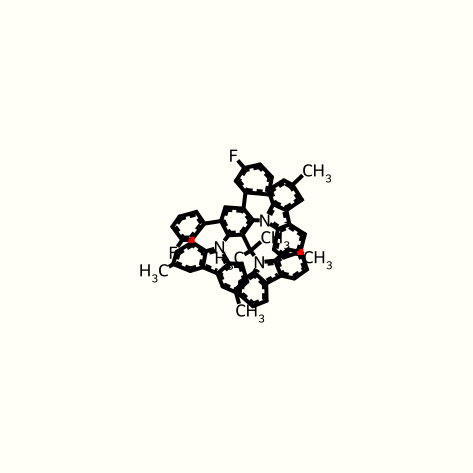 Cc1ccc2c(c1)c1cc(C)ccc1n2-c1c(-c2cccc(F)c2)cc(-c2cccc(F)c2)c(-n2c3ccc(C)cc3c3cc(C)ccc32)c1C(C)(C)n1c2ccccc2c2ccccc21